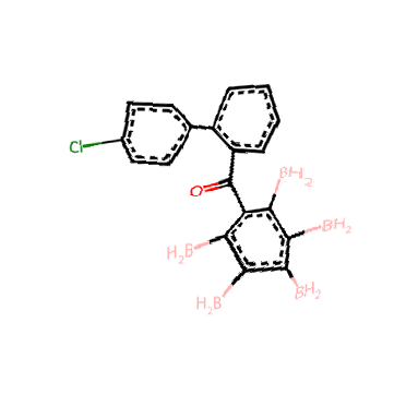 Bc1c(B)c(B)c(C(=O)c2ccccc2-c2ccc(Cl)cc2)c(B)c1B